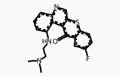 CN(C)CCNc1cccc2ncc3sc4ccc(F)cc4c(=O)c3c12